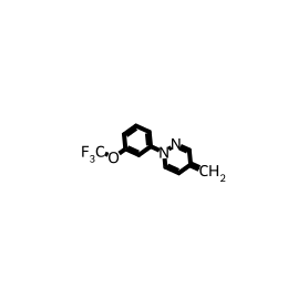 C=C1C=CN(c2cccc(OC(F)(F)F)c2)N=C1